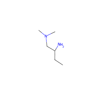 CCC(N)CN(C)C